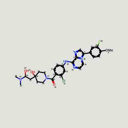 COc1ccc(-c2cnc3c(Nc4ccc(C(=O)N5CCC(O)(CC(O)N(C)C)CC5)c(Cl)c4)nccn23)cc1F